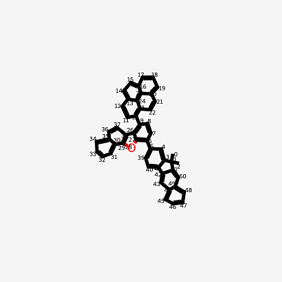 CC1(C)c2cc(-c3ccc(-c4ccc5ccc6cccc7ccc4c5c67)c4c3oc3c5ccccc5ccc34)ccc2-c2cc3ccccc3cc21